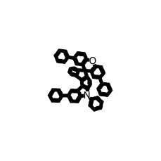 c1ccc(-c2ccc3c(c2)C2(c4cc(-c5ccccc5)ccc4O3)c3ccccc3-c3c2ccc2c3c3cc(-c4ccccc4)ccc3n2-c2ccccc2)cc1